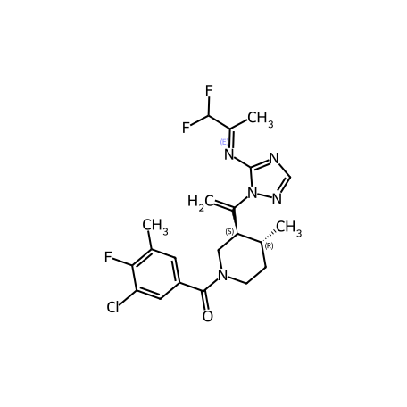 C=C([C@@H]1CN(C(=O)c2cc(C)c(F)c(Cl)c2)CC[C@H]1C)n1ncnc1/N=C(\C)C(F)F